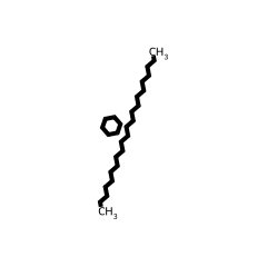 C1CCCCC1.CCCCCCCCCCCCCCCCCCCCCC